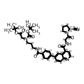 CC(C)(C)OC(=O)CN(CCCNC(=O)c1ccc(-c2ccc3nccc(C(=O)NCC(=O)N4CCC[C@H]4C#N)c3c2)cc1)C(=O)OC(C)(C)C